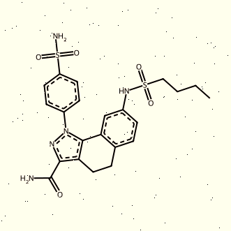 CCCCS(=O)(=O)Nc1ccc2c(c1)-c1c(c(C(N)=O)nn1-c1ccc(S(N)(=O)=O)cc1)CC2